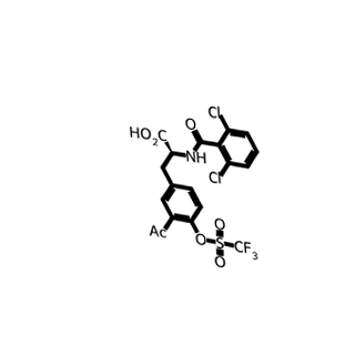 CC(=O)c1cc(C[C@H](NC(=O)c2c(Cl)cccc2Cl)C(=O)O)ccc1OS(=O)(=O)C(F)(F)F